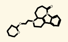 O=C1CCCC2c3c(c4ccccc4n31)CCN2CCOC1CCCCO1